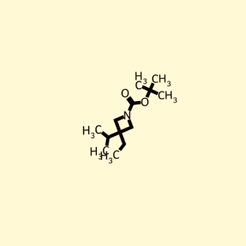 CCC1(C(C)C)CN(C(=O)OC(C)(C)C)C1